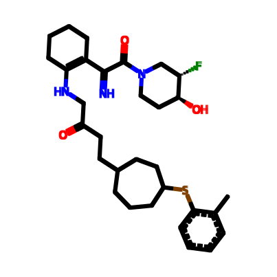 Cc1ccccc1SC1CCCC(CCC(=O)CNC2=C(C(=N)C(=O)N3CC[C@H](O)[C@@H](F)C3)CCCC2)CC1